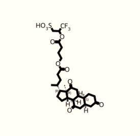 CC(CCC(=O)OCCCC(=O)OC(CS(=O)(=O)O)C(F)(F)F)[C@H]1CC[C@H]2[C@@H]3C(=O)C[C@@H]4CC(=O)CC[C@]4(C)[C@H]3CC(=O)[C@]12C